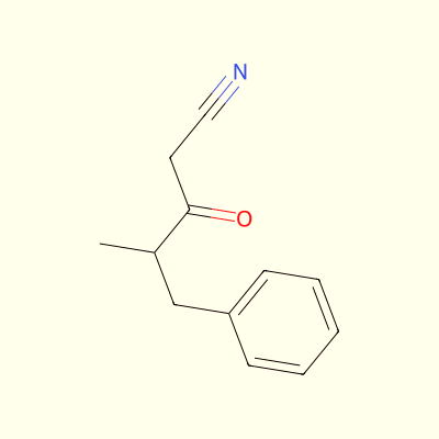 CC(Cc1ccccc1)C(=O)CC#N